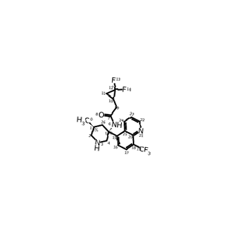 C[C@@H]1CNC[C@](NC(=O)CC2CC2(F)F)(c2ccc(C(F)(F)F)c3ncccc23)C1